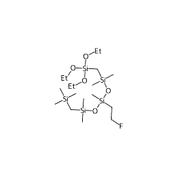 CCO[Si](C[Si](C)(C)O[Si](C)(CCF)O[Si](C)(C)C[Si](C)(C)C)(OCC)OCC